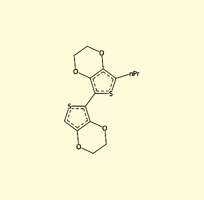 CCCc1sc(-c2scc3c2OCCO3)c2c1OCCO2